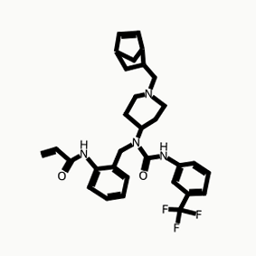 C=CC(=O)Nc1ccccc1CN(C(=O)Nc1cccc(C(F)(F)F)c1)C1CCN(CC2CC3C=CC2C3)CC1